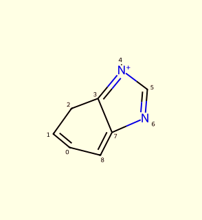 C1=CCC2=[N+]C=NC2=C1